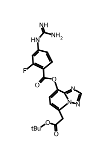 CC(C)(C)OC(=O)Cc1ccc(OC(=O)c2ccc(NC(=N)N)cc2F)c2ncnn12